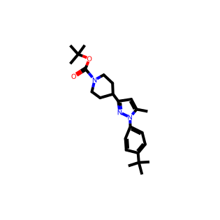 Cc1cc(C2CCN(C(=O)OC(C)(C)C)CC2)nn1-c1ccc(C(C)(C)C)cc1